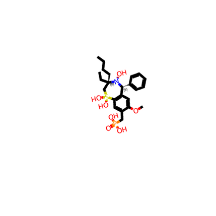 CCCC[C@]1(CC)CS(O)(O)c2cc(CP(=O)(O)O)c(OC)cc2[C@@H](c2ccccc2)N1O